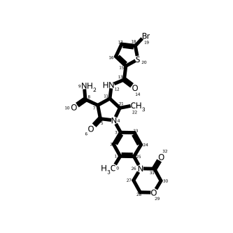 Cc1cc(N2C(=O)C(C(N)=O)C(NC(=O)c3ccc(Br)s3)C2C)ccc1N1CCOCC1=O